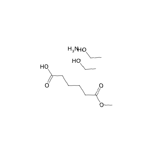 CCO.CCO.COC(=O)CCCCC(=O)O.N